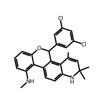 CNc1cccc2c1-c1ccc3c(c1C(c1cc(Cl)cc(Cl)c1)O2)C(C)=CC(C)(C)N3